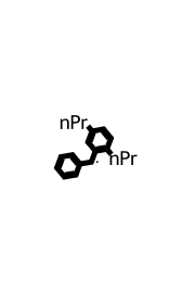 CCCc1ccc(CCC)c([CH]c2ccccc2)c1